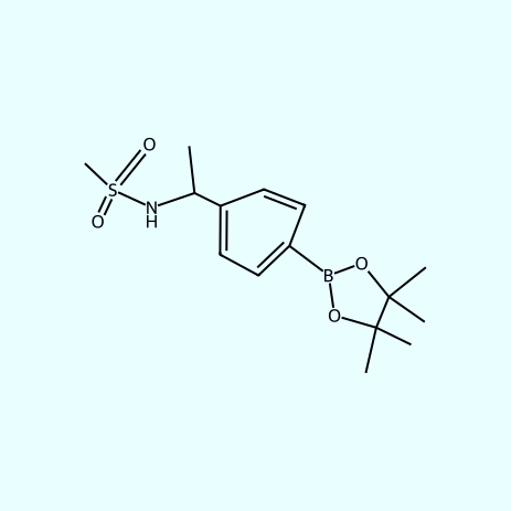 CC(NS(C)(=O)=O)c1ccc(B2OC(C)(C)C(C)(C)O2)cc1